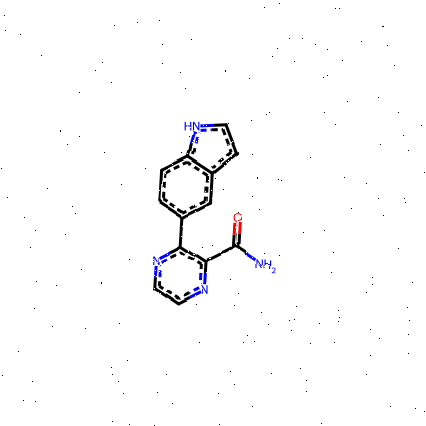 NC(=O)c1nccnc1-c1ccc2[nH]ccc2c1